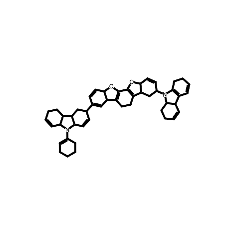 C1=CC2=C(CC1)N(C1C=CC3OC4=C(CCC5=C4OC4C=CC(C6C=CC7C(C6)C6CCC=CC6N7C6=CCCCC6)=CC54)C3C1)C1CCC=CC21